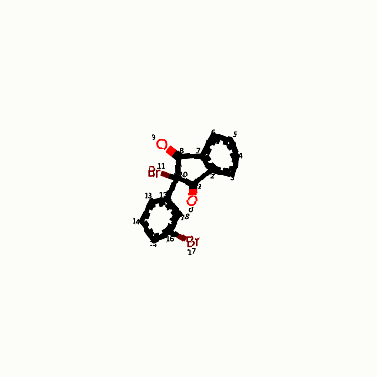 O=C1c2ccccc2C(=O)C1(Br)c1cccc(Br)c1